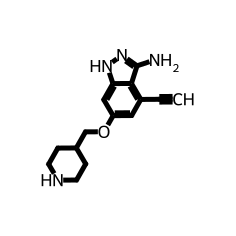 C#Cc1cc(OCC2CCNCC2)cc2[nH]nc(N)c12